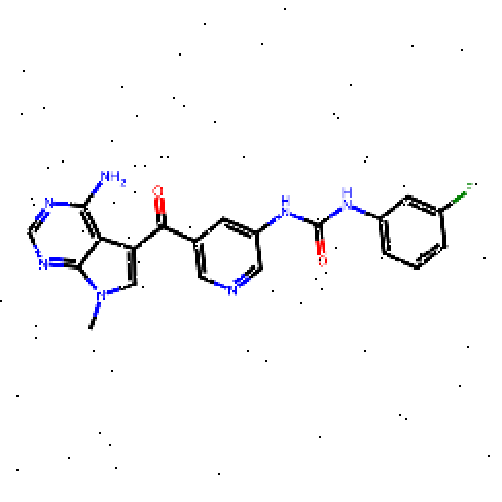 Cn1cc(C(=O)c2cncc(NC(=O)Nc3cccc(F)c3)c2)c2c(N)ncnc21